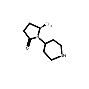 C[C@@H]1CCC(=O)N1C1CCNCC1